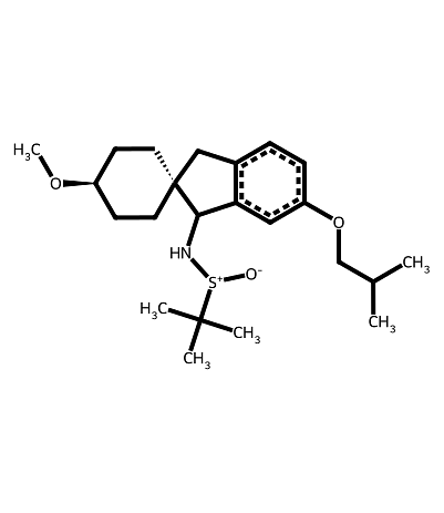 CO[C@H]1CC[C@]2(CC1)Cc1ccc(OCC(C)C)cc1C2N[S+]([O-])C(C)(C)C